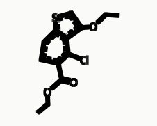 CCOC(=O)c1ccc2scc(OCC)c2c1Cl